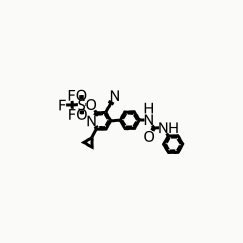 N#Cc1c(-c2ccc(NC(=O)Nc3ccccc3)cc2)cc(C2CC2)nc1OS(=O)(=O)C(F)(F)F